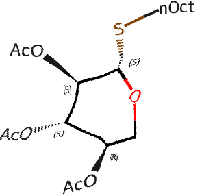 CCCCCCCCS[C@@H]1OC[C@@H](OC(C)=O)[C@H](OC(C)=O)[C@H]1OC(C)=O